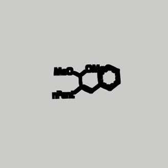 CCCCCC(=Cc1ccccc1)C(OC)OC